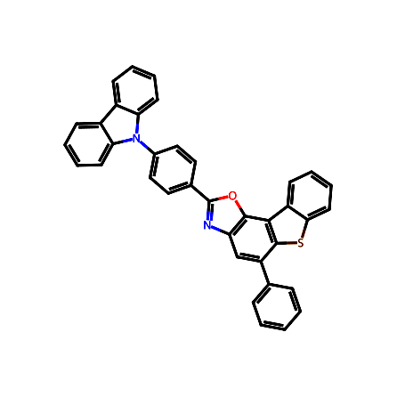 c1ccc(-c2cc3nc(-c4ccc(-n5c6ccccc6c6ccccc65)cc4)oc3c3c2sc2ccccc23)cc1